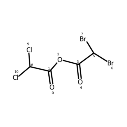 O=C(OC(=O)C(Br)Br)C(Cl)Cl